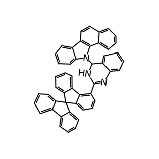 c1ccc2c(c1)N=C(c1cccc3c1-c1ccccc1C31c3ccccc3-c3ccccc31)NC2n1c2ccccc2c2ccc3ccccc3c21